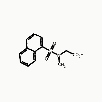 CN(CC(=O)O)S(=O)(=O)c1cccc2ccccc12